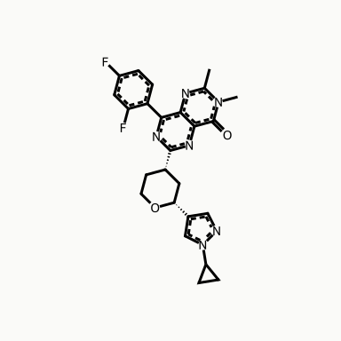 Cc1nc2c(-c3ccc(F)cc3F)nc([C@H]3CCO[C@@H](c4cnn(C5CC5)c4)C3)nc2c(=O)n1C